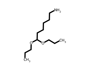 CCCOC(CCCCCN)OCCC